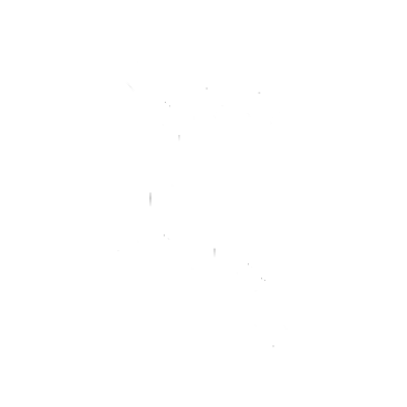 c1ccc(-c2ccc3c(c2)c2cc(-c4ccc(N(c5ccccc5)c5ccc(-c6nnc(-c7ccccc7)o6)cc5)cc4)ccc2n3-c2ccccc2)cc1